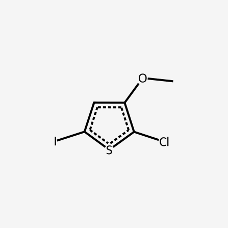 COc1cc(I)sc1Cl